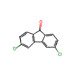 O=C1c2ccc(Cl)cc2-c2cc(Cl)ccc21